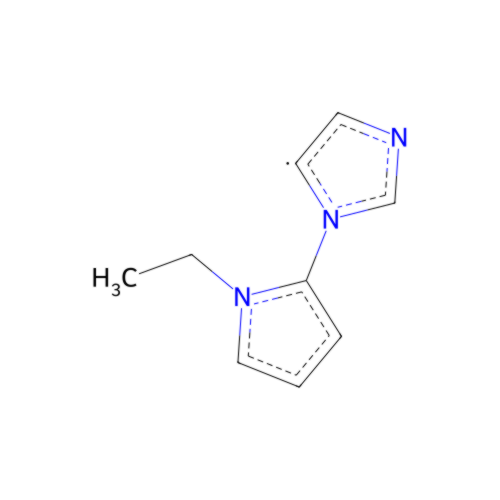 CCn1cccc1-n1[c]cnc1